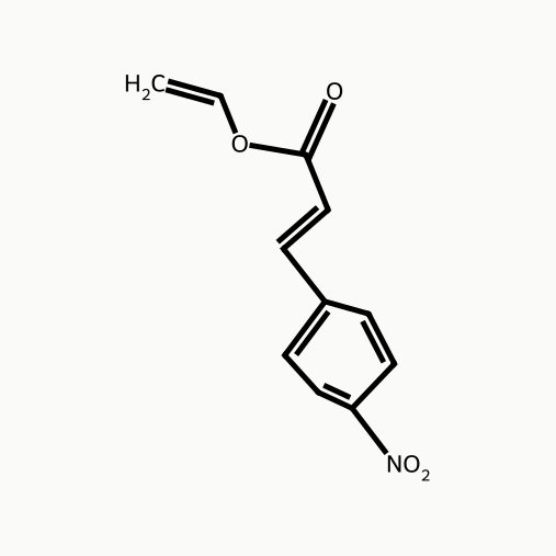 C=COC(=O)C=Cc1ccc([N+](=O)[O-])cc1